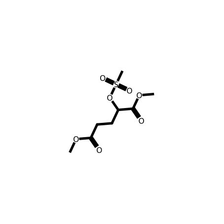 COC(=O)CCC(OS(C)(=O)=O)C(=O)OC